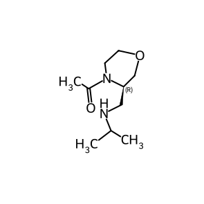 CC(=O)N1CCOC[C@H]1CNC(C)C